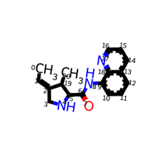 C/C=C1/CNC(C(=O)Nc2cccc3cccnc23)C1C